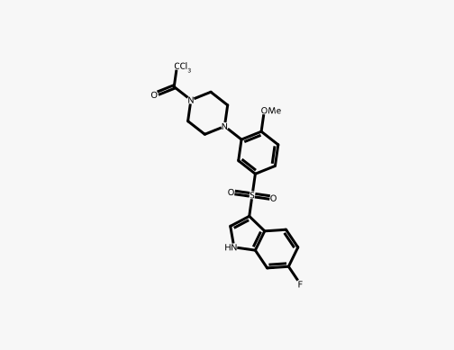 COc1ccc(S(=O)(=O)c2c[nH]c3cc(F)ccc23)cc1N1CCN(C(=O)C(Cl)(Cl)Cl)CC1